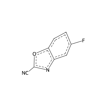 N#Cc1nc2cc(F)ccc2o1